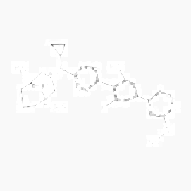 COc1cc(-c2cc(O)c(-c3ccc(N(C4CC4)[C@H]4C[C@]5(C)CCC[C@](C)(C4)N5)nn3)c(F)c2)cnn1